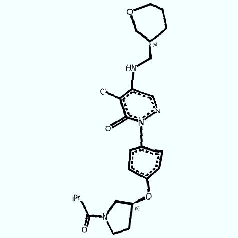 CC(C)C(=O)N1CC[C@H](Oc2ccc(-n3ncc(NC[C@@H]4CCCOC4)c(Cl)c3=O)cc2)C1